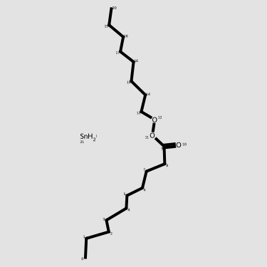 CCCCCCCCCC(=O)OOCCCCCCCC.[SnH2]